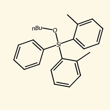 CCCCO[Si](c1ccccc1)(c1ccccc1C)c1ccccc1C